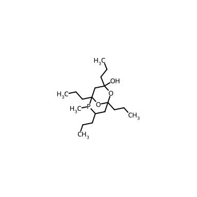 CCCC1CC2(CCC)OC(O)(CCC)CC(CCC)(O2)P1C